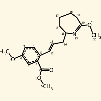 COC(=O)c1cc(OC)ccc1C=CCC1CCCCC(OC)=N1